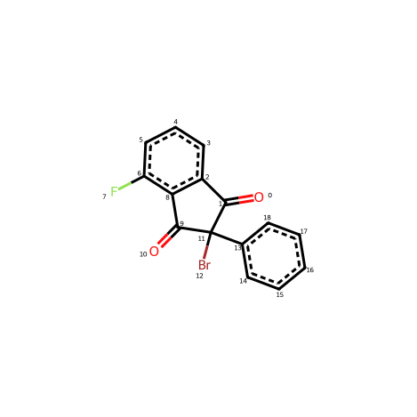 O=C1c2cccc(F)c2C(=O)C1(Br)c1ccccc1